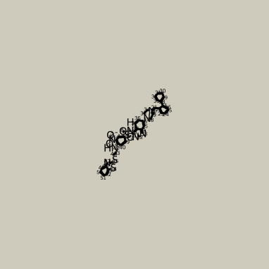 O=[N+]([O-])c1cc(S(=O)(=O)Nc2ncnc3cc(N4CCN(Cc5ccccc5-c5ccccc5)CC4)ccc23)ccc1NCCSc1nc2ccccc2s1